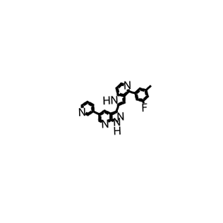 Cc1cc(F)cc(-c2nccc3[nH]c(-c4n[nH]c5ncc(-c6cccnc6)cc45)cc23)c1